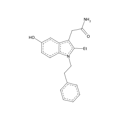 CCc1c(CC(N)=O)c2cc(O)ccc2n1CCc1ccccc1